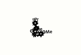 COC(=O)c1nnn(Cc2ccc(OC)cc2)c1Oc1ccc(-c2ccc(C(C)C)cc2)cc1